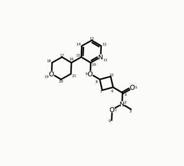 CON(C)C(=O)C1CC(Oc2ncccc2C2CCOCC2)C1